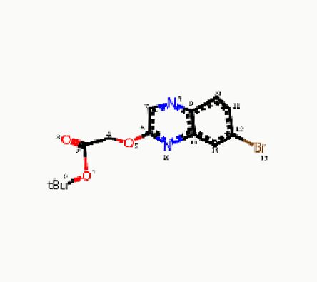 CC(C)(C)OC(=O)COc1cnc2ccc(Br)cc2n1